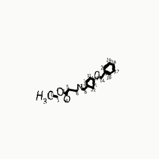 CCOC(=O)CCN=Cc1ccc(OCc2ccccc2)cc1